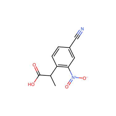 CC(C(=O)O)c1ccc(C#N)cc1[N+](=O)[O-]